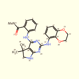 CNC(=O)c1ccccc1Nc1nc(Nc2cccc3c2OCCO3)nc2c1C(C)(C)CN2